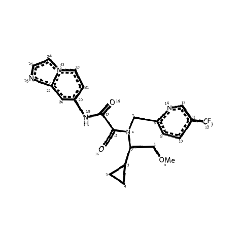 COCC(C1CC1)N(Cc1ccc(C(F)(F)F)cn1)C(=O)C(=O)Nc1ccn2ccnc2c1